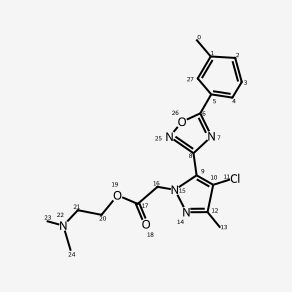 Cc1cccc(-c2nc(-c3c(Cl)c(C)nn3CC(=O)OCCN(C)C)no2)c1